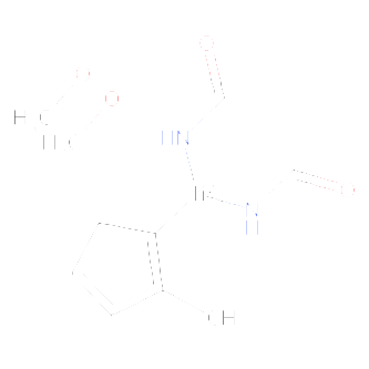 CC1=[C]([Ti+2]([NH]C=O)[NH]C=O)CC=C1.C[O-].C[O-]